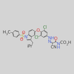 Cc1ccc(S(=O)(=O)n2cc(CC(C)C)c3cc(Oc4c(Cl)cc(NN=C(C#N)C(=O)NC(=O)O)cc4Cl)ccc32)cc1